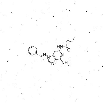 CCOC(=O)Nc1cc2c(ncn2/N=C/c2ccccc2)c(N)n1